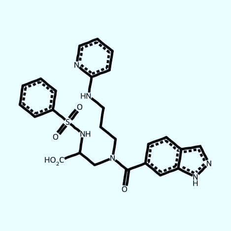 O=C(O)C(CN(CCCNc1ccccn1)C(=O)c1ccc2cn[nH]c2c1)NS(=O)(=O)c1ccccc1